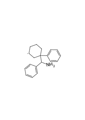 NC(c1ccccc1)C1(c2ccccc2)C[CH]CCC1